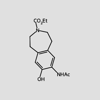 CCOC(=O)N1CCc2cc(O)c(NC(C)=O)cc2CC1